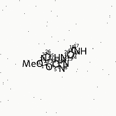 COCCOc1cc2ncnc(Nc3ccc4[nH]ccc4c3)c2cc1-c1cccnc1